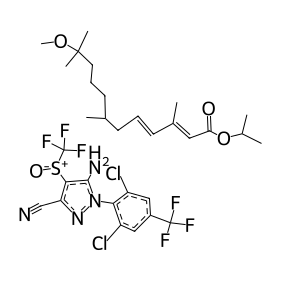 COC(C)(C)CCCC(C)C/C=C/C(C)=C/C(=O)OC(C)C.N#Cc1nn(-c2c(Cl)cc(C(F)(F)F)cc2Cl)c(N)c1[S+]([O-])C(F)(F)F